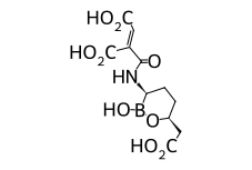 O=C(O)/C=C(\C(=O)O)C(=O)N[C@H]1CC[C@@H](CC(=O)O)OB1O